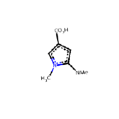 CNc1cc(C(=O)O)cn1C